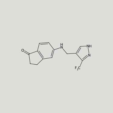 O=C1CCc2cc(NCc3c[nH]nc3C(F)(F)F)ccc21